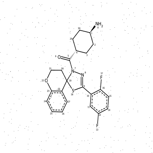 N[C@H]1CC[C@H](C(=O)N2N=C(c3cc(F)ccc3F)SC23CCOc2ccccc23)CC1